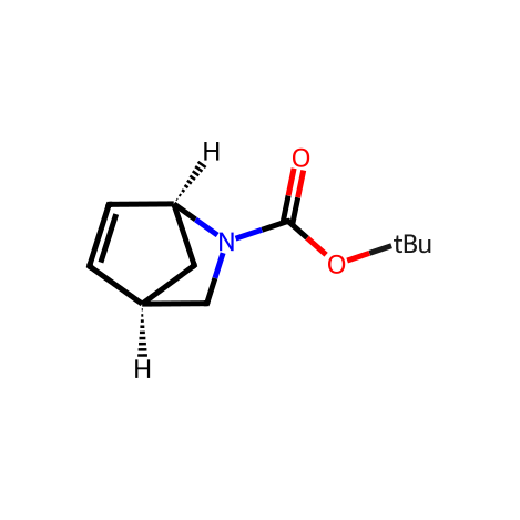 CC(C)(C)OC(=O)N1C[C@H]2C=C[C@@H]1C2